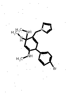 CNC1=CC(NC)(NC)C(Cn2cccc2)=CC1c1ccc(Br)cc1